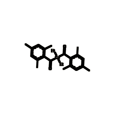 C[CH2][Ge]([CH2]C)([C](=O)c1c(C)cc(C)cc1C)[C](=O)c1c(C)cc(C)cc1C